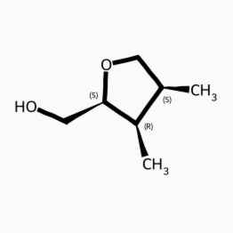 C[C@@H]1[C@H](C)CO[C@@H]1CO